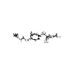 NC(=S)Sc1ccc(OCCO)cc1